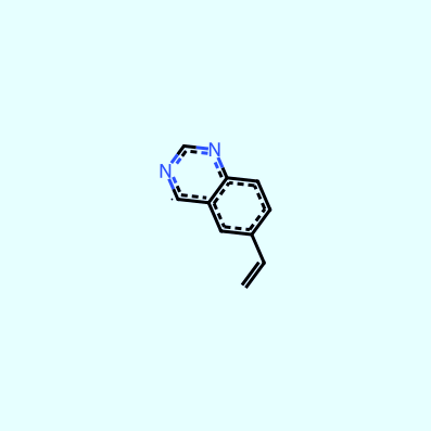 C=Cc1ccc2ncn[c]c2c1